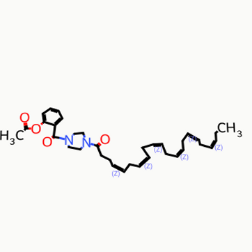 CC/C=C\C/C=C\C/C=C\C/C=C\C/C=C\C/C=C\CCC(=O)N1CCN(C(=O)c2ccccc2OC(C)=O)CC1